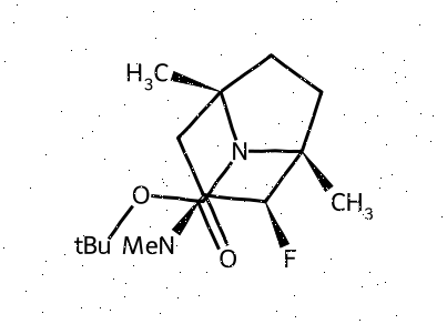 CN[C@H]1C[C@]2(C)CC[C@](C)([C@H]1F)N2C(=O)OC(C)(C)C